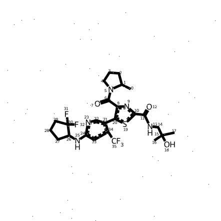 CC1CCCN1C(=O)c1nc(C(=O)NCC(C)(C)O)sc1-c1cnc(NC2CCCC2(F)F)cc1C(F)(F)F